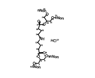 CCCCCCCCCOCC(COCCCCCCCCC)OC(=O)CCCNCCCC(=O)OC(COCCCCCCCCC)COCCCCCCCCC.Cl